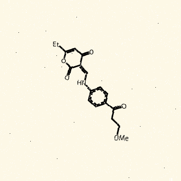 CCC1=CC(=O)C(=CNc2ccc(C(=O)CCOC)cc2)C(=O)O1